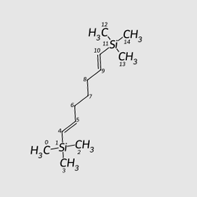 C[Si](C)(C)C=CCCCC=C[Si](C)(C)C